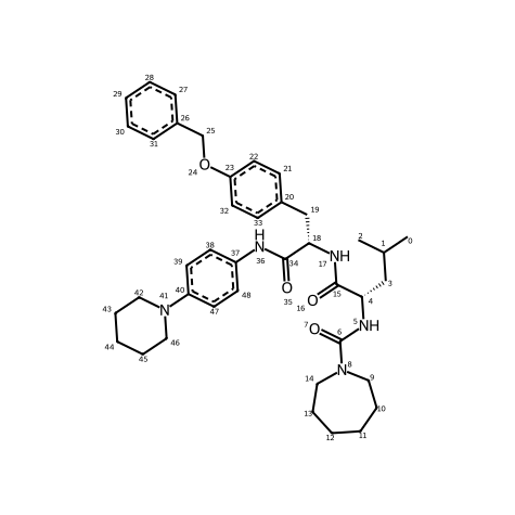 CC(C)C[C@H](NC(=O)N1CCCCCC1)C(=O)N[C@@H](Cc1ccc(OCc2ccccc2)cc1)C(=O)Nc1ccc(N2CCCCC2)cc1